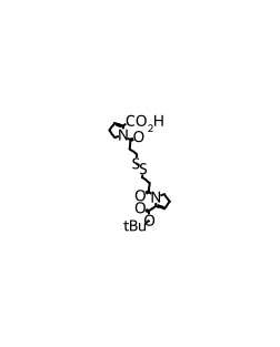 CC(C)(C)OC(=O)C1=CCCN1C(=O)CCSSCCC(=O)N1CCC=C1C(=O)O